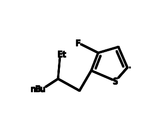 CCCCC(CC)Cc1s[c]cc1F